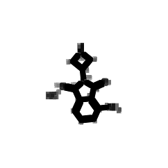 Cl.Nc1cccc2c1C(=O)N(C1CNC1)C2=O